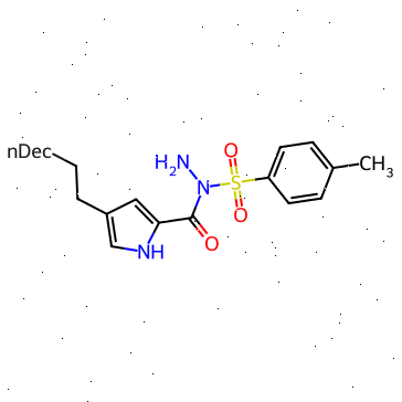 CCCCCCCCCCCCc1c[nH]c(C(=O)N(N)S(=O)(=O)c2ccc(C)cc2)c1